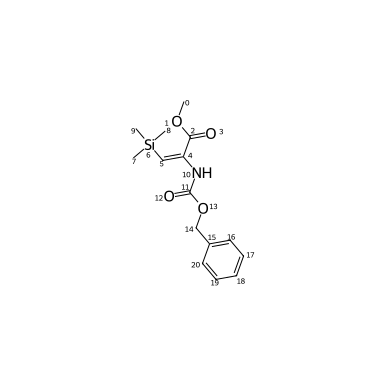 COC(=O)C(=C[Si](C)(C)C)NC(=O)OCc1ccccc1